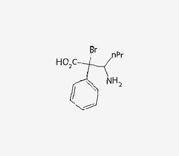 CCCC(N)C(Br)(C(=O)O)c1ccccc1